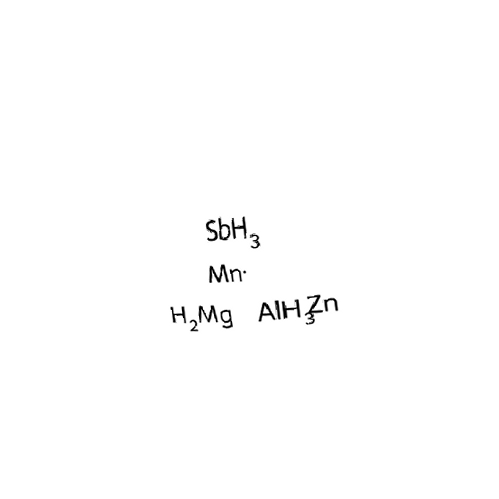 [AlH3].[MgH2].[Mn].[SbH3].[Zn]